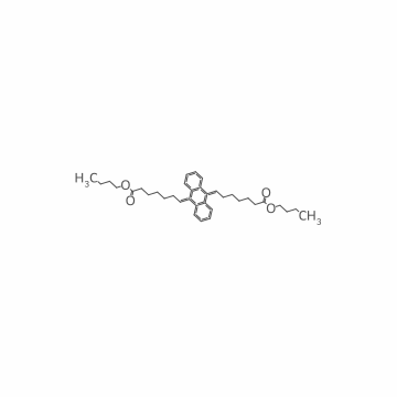 CCCCOC(=O)CCCCCC=c1c2ccccc2c(=CCCCCCC(=O)OCCCC)c2ccccc12